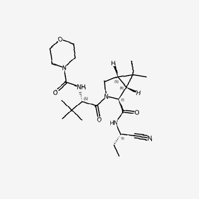 CC[C@@H](C#N)NC(=O)[C@@H]1[C@@H]2[C@H](CN1C(=O)[C@@H](NC(=O)N1CCOCC1)C(C)(C)C)C2(C)C